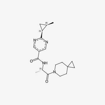 C[C@H](NC(=O)c1cnc([C@H]2C[C@H]2C)nc1)C(=O)N1CCC2(CC1)CC2